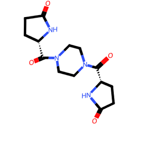 O=C1CC[C@@H](C(=O)N2CCN(C(=O)[C@@H]3CCC(=O)N3)CC2)N1